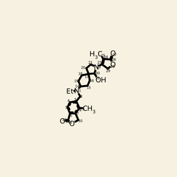 CCN(Cc1ccc2c(c1C)COC2=O)C1CCC2(CC1)CCN(C1=C(C)C(=O)OC1)C2O